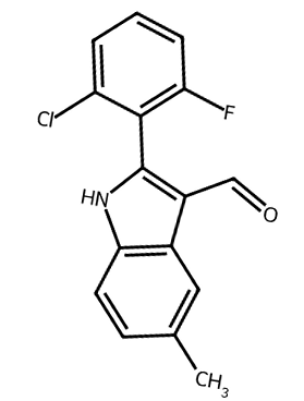 Cc1ccc2[nH]c(-c3c(F)cccc3Cl)c(C=O)c2c1